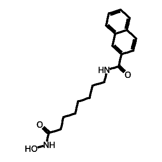 O=C(CCCCCCCNC(=O)c1ccc2ccccc2c1)NO